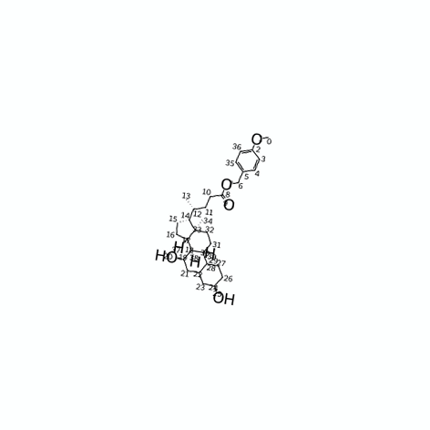 COc1ccc(COC(=O)CC[C@@H](C)[C@H]2CC[C@H]3[C@@H]4[C@H](O)CC5C[C@H](O)CC[C@]5(C)[C@H]4CC[C@]23C)cc1